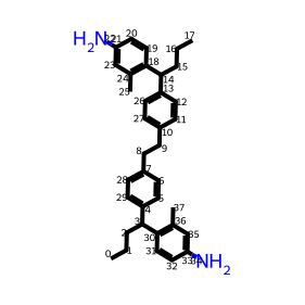 CCCC(c1ccc(CCc2ccc(C(CCC)c3ccc(N)cc3C)cc2)cc1)c1ccc(N)cc1C